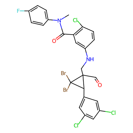 CN(C(=O)c1cc(NCC2(C=O)C(c3cc(Cl)cc(Cl)c3)C2(Br)Br)ccc1Cl)c1ccc(F)cc1